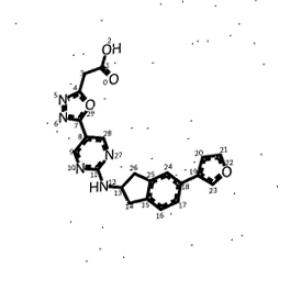 O=C(O)Cc1nnc(-c2cnc(NC3Cc4ccc(-c5ccoc5)cc4C3)nc2)o1